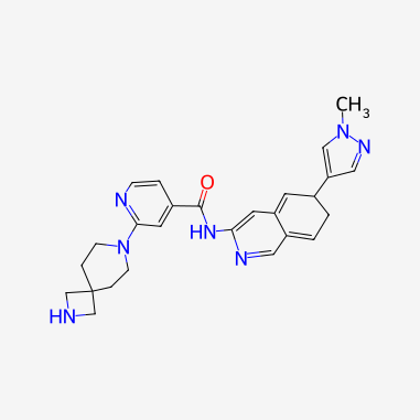 Cn1cc(C2C=c3cc(NC(=O)c4ccnc(N5CCC6(CC5)CNC6)c4)ncc3=CC2)cn1